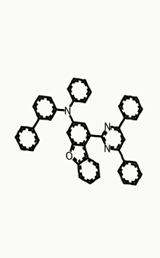 c1ccc(-c2cccc(N(c3ccccc3)c3cc(-c4nc(-c5ccccc5)cc(-c5ccccc5)n4)c4c(c3)oc3ccccc34)c2)cc1